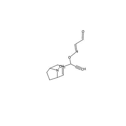 C#CC(ON=CC=O)C1=CC2CCC(C1)N2C